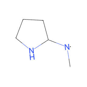 C[N]C1CCCN1